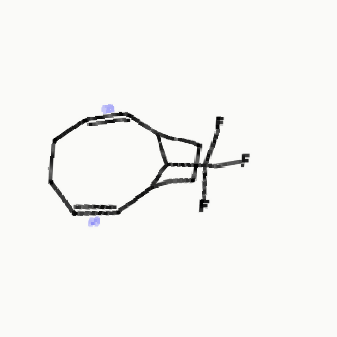 FC(F)(F)C1C2/C=C\CC/C=C\C1CC2